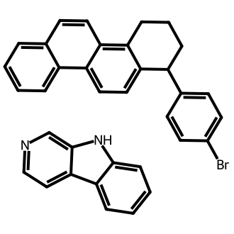 Brc1ccc(C2CCCc3c2ccc2c3ccc3ccccc32)cc1.c1ccc2c(c1)[nH]c1cnccc12